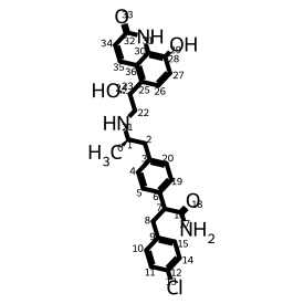 C[C@H](Cc1ccc(C(Cc2ccc(Cl)cc2)C(N)=O)cc1)NC[C@H](O)c1ccc(O)c2[nH]c(=O)ccc12